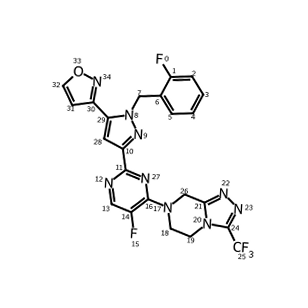 Fc1ccccc1Cn1nc(-c2ncc(F)c(N3CCn4c(nnc4C(F)(F)F)C3)n2)cc1-c1ccon1